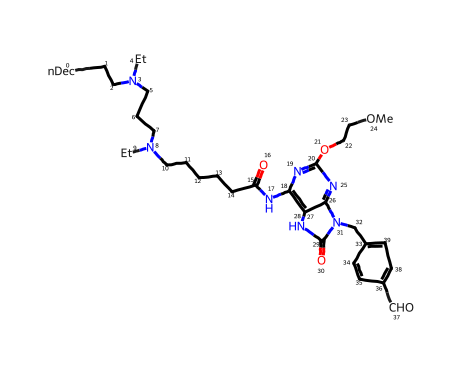 CCCCCCCCCCCCN(CC)CCCN(CC)CCCCCC(=O)Nc1nc(OCCOC)nc2c1[nH]c(=O)n2Cc1ccc(C=O)cc1